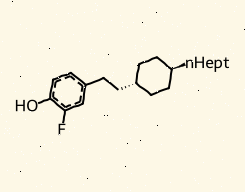 CCCCCCC[C@H]1CC[C@H](CCc2ccc(O)c(F)c2)CC1